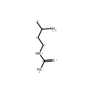 CC(N)CCNC(=S)S